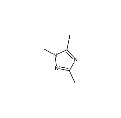 Cc1nc(I)n(C)n1